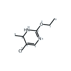 CCOC1=NC=C(Cl)C(C)N1